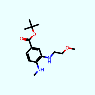 CNc1ccc(C(=O)OC(C)(C)C)cc1NCCOC